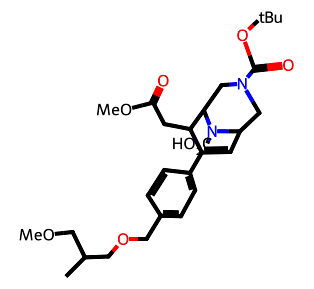 COCC(C)COCc1ccc(C2=CC3CN(C(=O)OC(C)(C)C)CC(C2CC(=O)OC)N3C(=O)O)cc1